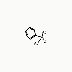 C[C](=O)[V](=[O])([C](C)=O)[c]1ccccc1